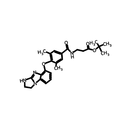 Cc1cc(C(=O)NCCC(=O)OC(C)(C)C)cc(C)c1Oc1cccc2c1nc1n2CCN1